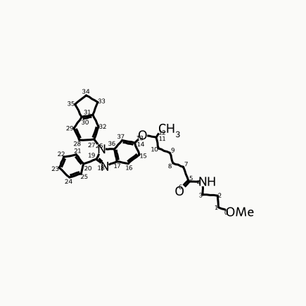 COCCCNC(=O)CCCCC(C)Oc1ccc2nc(-c3ccccc3)n(-c3ccc4c(c3)CCC4)c2c1